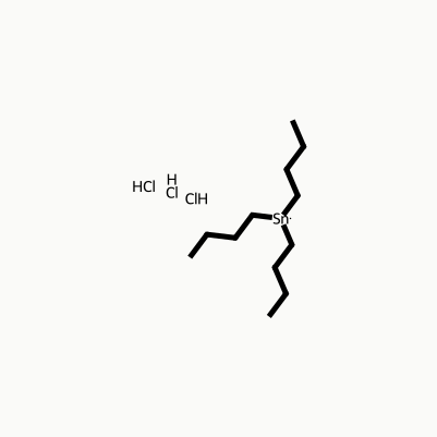 CCC[CH2][Sn]([CH2]CCC)[CH2]CCC.Cl.Cl.Cl